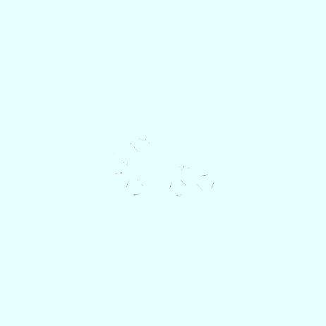 CCOC(=O)CN(Cc1nc(C)no1)C(=O)c1cccc(COc2ccc(-c3cc(F)c(F)cc3SC)cc2)c1